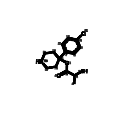 CC(S)C(=O)OC1(c2ccc(Cl)cc2)CCNCC1